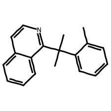 Cc1ccccc1C(C)(C)c1nccc2ccccc12